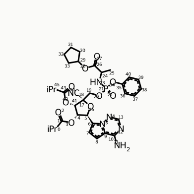 CC(C)C(=O)O[C@H]1[C@H](c2ccc3c(N)ncnn23)O[C@](C#N)(COP(=O)(NC(C)C(=O)OC2CCCC2)Oc2ccccc2)[C@H]1OC(=O)C(C)C